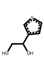 OCC(O)c1ccsc1